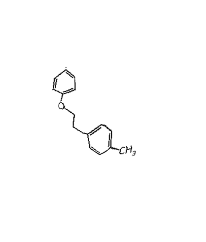 Cc1ccc(CCOc2cc[c]cc2)cc1